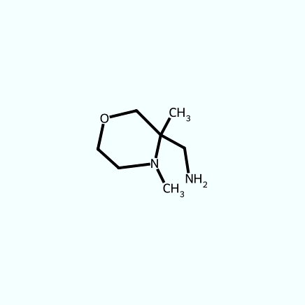 CN1CCOCC1(C)CN